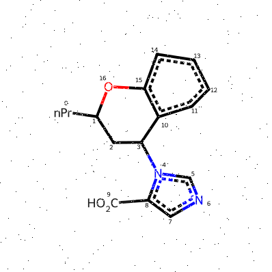 CCCC1CC(n2cncc2C(=O)O)c2ccccc2O1